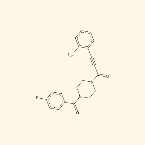 O=C(C#Cc1ccccc1C(F)(F)F)N1CCN(C(=O)c2ccc(F)cc2)CC1